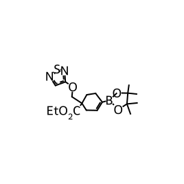 CCOC(=O)C1(COc2cnsn2)CC=C(B2OC(C)(C)C(C)(C)O2)CC1